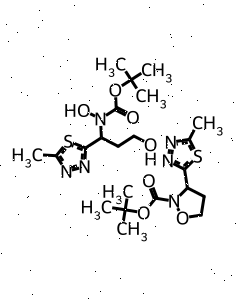 Cc1nnc(C(CCO)N(O)C(=O)OC(C)(C)C)s1.Cc1nnc(C2CCON2C(=O)OC(C)(C)C)s1